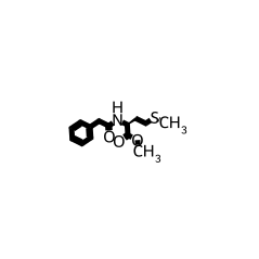 COC(=O)[C@H](CCSC)NC(=O)Cc1ccccc1